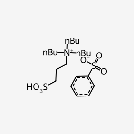 CCCC[N+](CCCC)(CCCC)CCCS(=O)(=O)O.O=S(=O)([O-])c1ccccc1